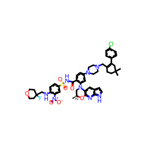 C[C@H]1CN(c2cc(N3CCN(CC4=C(c5ccc(Cl)cc5)CC(C)(C)CC4)CC3)ccc2C(=O)NS(=O)(=O)c2ccc(NCC3(F)CCOCC3)c([N+](=O)[O-])c2)c2cc3cc[nH]c3nc2O1